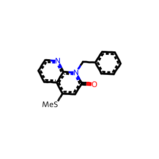 CSc1cc(=O)n(Cc2ccccc2)c2ncccc12